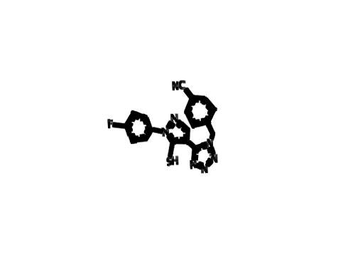 N#Cc1ccc(Cn2nnnc2-c2cnn(-c3ccc(F)cc3)c2S)cc1